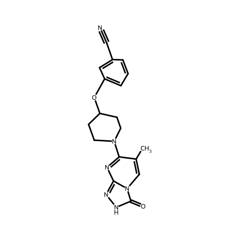 Cc1cn2c(=O)[nH]nc2nc1N1CCC(Oc2cccc(C#N)c2)CC1